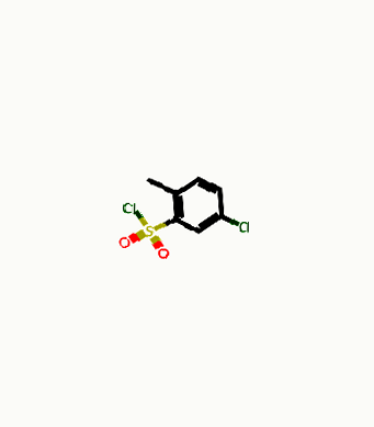 Cc1ccc(Cl)cc1S(=O)(=O)Cl